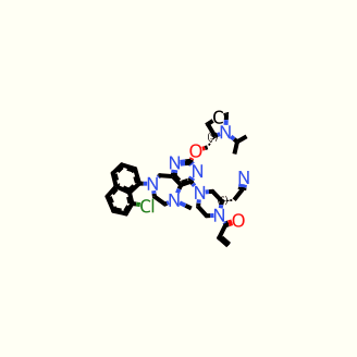 C=CC(=O)N1CCN(c2nc(OC[C@@H]3CCCN3C(C)C)nc3c2N(C)CCN(c2cccc4cccc(Cl)c24)C3)C[C@@H]1CC#N